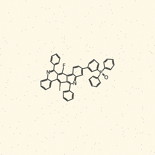 O=P(c1ccccc1)(c1ccccc1)c1cccc(-c2ccc3c(c2)nc(-c2ccccc2)c2c(I)c4c(c(-c5ccccc5)nc5ccccc54)c(F)c23)c1